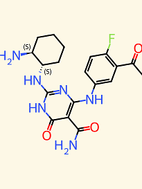 CC(=O)c1cc(Nc2nc(N[C@H]3CCCC[C@@H]3N)[nH]c(=O)c2C(N)=O)ccc1F